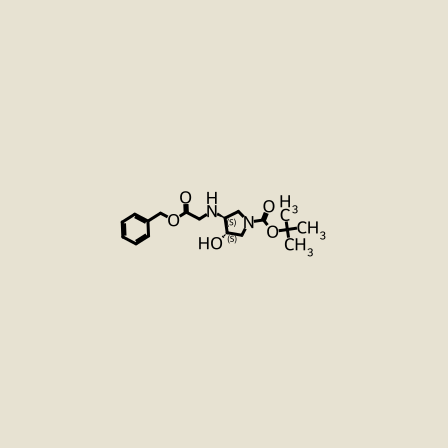 CC(C)(C)OC(=O)N1C[C@H](NCC(=O)OCc2ccccc2)[C@@H](O)C1